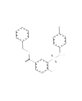 Cc1ccc(NS(=O)(=O)c2cc(C(=O)NCc3ccccc3)ccc2Cl)cc1